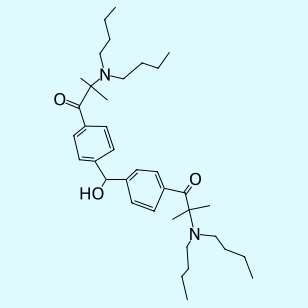 CCCCN(CCCC)C(C)(C)C(=O)c1ccc(C(O)c2ccc(C(=O)C(C)(C)N(CCCC)CCCC)cc2)cc1